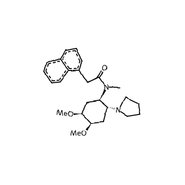 CO[C@H]1C[C@@H](N(C)C(=O)Cc2cccc3ccccc23)[C@H](N2CCCC2)C[C@H]1OC